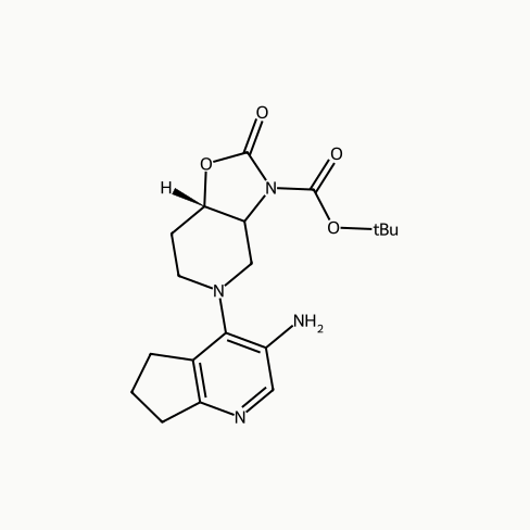 CC(C)(C)OC(=O)N1C(=O)O[C@H]2CCN(c3c(N)cnc4c3CCC4)CC21